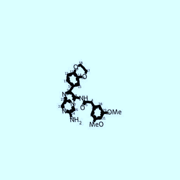 COc1cc(CC(=O)Nc2c(-c3ccc4c(c3)OCCO4)nc3cnc(N)cn23)cc(OC)c1